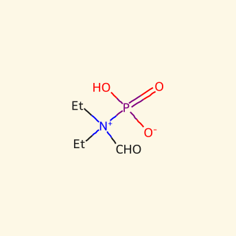 CC[N+](C=O)(CC)P(=O)([O-])O